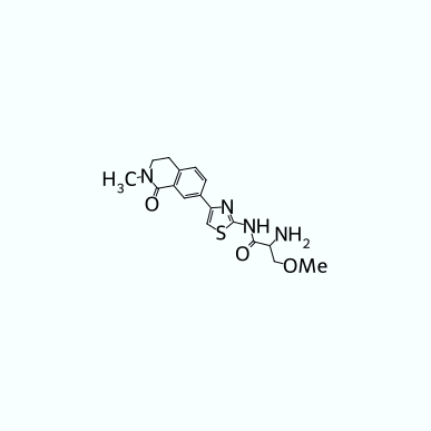 COCC(N)C(=O)Nc1nc(-c2ccc3c(c2)C(=O)N(C)CC3)cs1